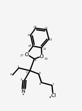 CCC(C#N)(CCCCl)C1Oc2ccccc2O1